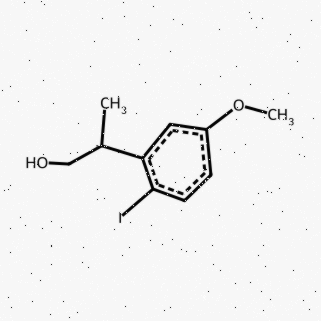 COc1ccc(I)c([C](C)CO)c1